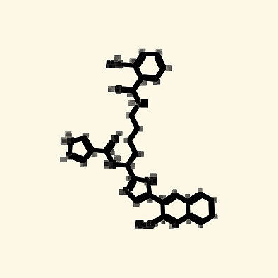 COc1nc2ccccc2cc1-c1cnc([C@H](CCCCNC(=O)c2ccccc2SC)NC(=O)c2cn[nH]c2)[nH]1